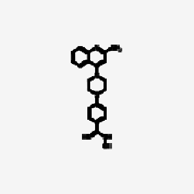 N=C(NO)c1ccc(N2CCN(c3cc(N)nc4ccccc34)CC2)cc1